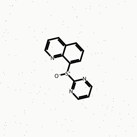 [O-][S+](c1ncccn1)c1cccc2cccnc12